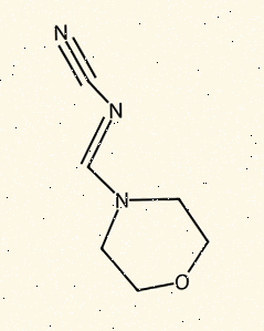 N#CN=CN1CCOCC1